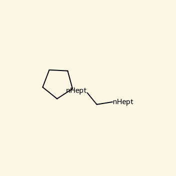 C1CCCC1.CCCCCCCCCCCCCCC